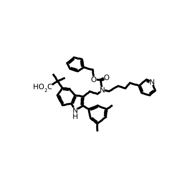 Cc1cc(C)cc(-c2[nH]c3ccc(C(C)(C)C(=O)O)cc3c2CCN(CCCCc2cccnc2)C(=O)OCc2ccccc2)c1